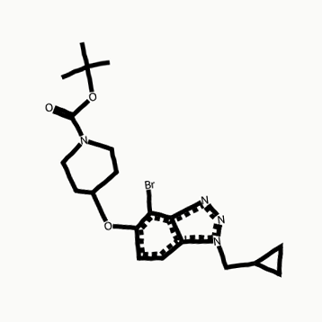 CC(C)(C)OC(=O)N1CCC(Oc2ccc3c(nnn3CC3CC3)c2Br)CC1